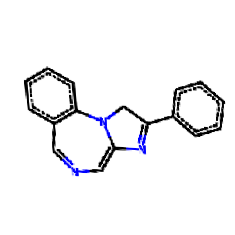 C1=NC=C2N=C(c3ccccc3)CN2c2ccccc21